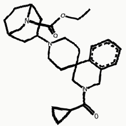 CCOC(=O)N1CC2CCC1CC(N1CCC3(CC1)CN(C(=O)C1CC1)Cc1ccccc13)C2